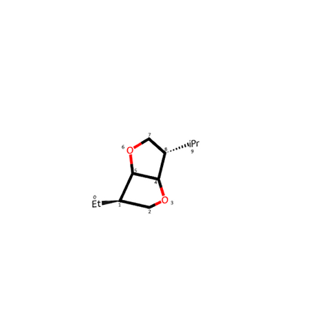 CC[C@@H]1COC2C1OC[C@@H]2C(C)C